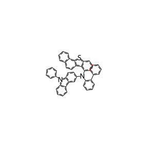 c1ccc(-c2ccccc2N(c2ccc3c(c2)c2ccccc2n3-c2ccccc2)c2cccc3sc4c5ccccc5ccc4c23)cc1